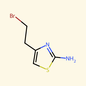 Nc1nc(CCBr)cs1